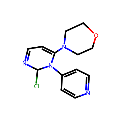 ClC1N=CC=C(N2CCOCC2)N1c1ccncc1